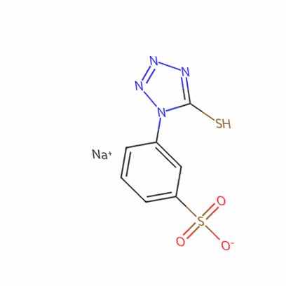 O=S(=O)([O-])c1cccc(-n2nnnc2S)c1.[Na+]